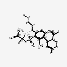 C=C(C)C1CCC(C)=CC1c1c(O)cc(CCCCC)c(S(=O)(=O)CC(C)(C)C(N)=O)c1O